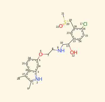 Cc1[nH]c2cc(OCCNCC(O)c3ccc(Cl)c(C[S+](C)[O-])c3)ccc2c1C